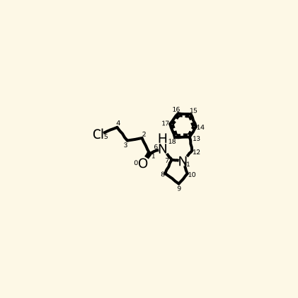 O=C(CCCCl)NC1CCCN1Cc1ccccc1